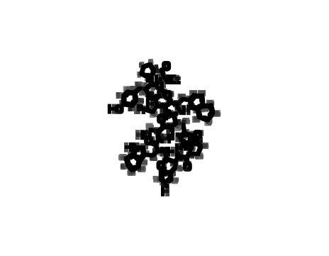 CCNC(=O)[C@@H]1CCCN1C(=O)[C@H](Cc1ccc(O)cc1)NC(=O)[C@H](CC(C)C)NC(=O)[C@@H](Cc1ccc2ccccc2c1)NC(=O)[C@H](Cc1c[nH]cn1)NC(=O)[C@H](CO)NC(=O)[C@H](Cc1c[nH]c2ccccc12)NC(=O)[C@H](Cc1c[nH]cn1)NC(=O)[C@@H]1CCC(=O)N1